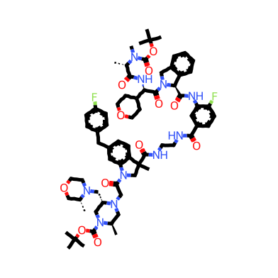 C[C@@H]1COCCN1C[C@H]1CN(C(=O)OC(C)(C)C)[C@H](C)CN1CC(=O)N1CC(C)(C(=O)NCCNC(=O)c2ccc(F)c(NC(=O)[C@@H]3c4ccccc4CN3C(=O)[C@@H](NC(=O)[C@H](C)N(C)C(=O)OC(C)(C)C)C3CCOCC3)c2)c2ccc(Cc3ccc(F)cc3)cc21